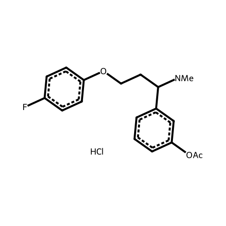 CNC(CCOc1ccc(F)cc1)c1cccc(OC(C)=O)c1.Cl